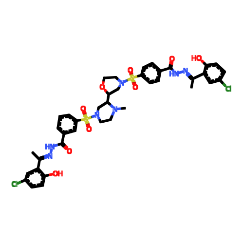 C/C(=N\NC(=O)c1ccc(S(=O)(=O)N2CCOC(C3CN(S(=O)(=O)c4cccc(C(=O)N/N=C(\C)c5cc(Cl)ccc5O)c4)CCN3C)C2)cc1)c1cc(Cl)ccc1O